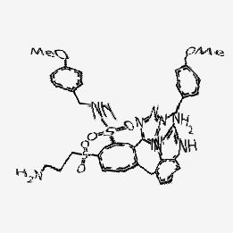 COc1ccc(CNS(=O)(=O)c2c(S(=O)(=O)CCCN)ccc(-c3cccc4[nH]c(N)nc34)c2-c2nnn(Cc3ccc(OC)cc3)n2)cc1